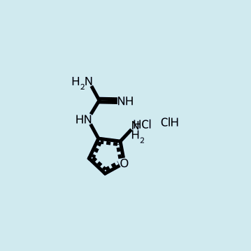 Cl.Cl.N=C(N)Nc1ccoc1N